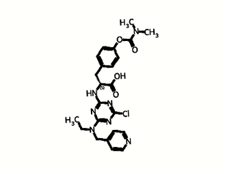 CCN(Cc1ccncc1)c1nc(Cl)nc(N[C@@H](Cc2ccc(OC(=O)N(C)C)cc2)C(=O)O)n1